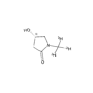 [2H]C([2H])([2H])N1C[C@@H](O)CC1=O